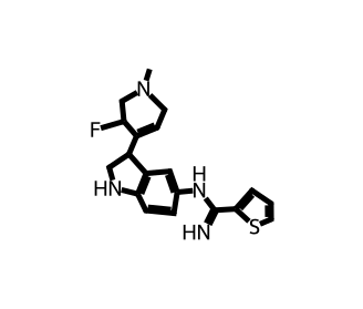 CN1CC=C(C2CNc3ccc(NC(=N)c4cccs4)cc32)C(F)C1